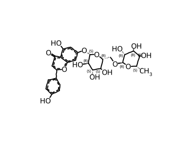 C[C@@H]1O[C@@H](OC[C@H]2O[C@@H](Oc3cc(O)c4c(=O)cc(-c5ccc(O)cc5)oc4c3)[C@H](O)[C@@H](O)[C@@H]2O)[C@H](O)[C@H](O)[C@H]1O